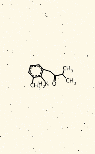 Cc1cccc(CC(=O)C(C)C)c1N